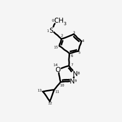 CSc1cccc(-c2nnc(C3CC3)o2)c1